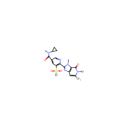 CCn1c(C(F)(F)F)cc2nc(-c3ncc(C(=O)N(C)C4CC4)cc3S(=O)(=O)CC)n(C)c2c1=O